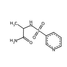 CC(NS(=O)(=O)c1cccnc1)C(N)=O